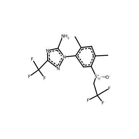 Cc1cc(C)c([S@+]([O-])CC(F)(F)F)cc1-n1nc(C(F)(F)F)nc1N